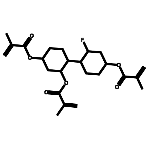 C=C(C)C(=O)OC1CCC(C2CCC(OC(=O)C(=C)C)CC2OC(=O)C(=C)C)C(F)C1